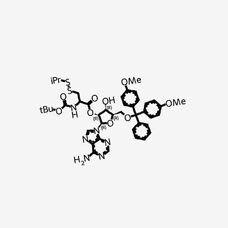 COc1ccc(C(OC[C@H]2O[C@@H](n3cnc4c(N)ncnc43)[C@H](OC(=O)C(CSSC(C)C)NC(=O)OC(C)(C)C)[C@@H]2O)(c2ccccc2)c2ccc(OC)cc2)cc1